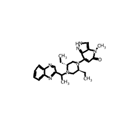 CC[C@H]1CN(C(C)c2cnc3ccccc3n2)[C@H](CC)CN1c1cc(=O)n(C)c2c[nH]nc12